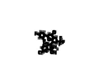 CC(Nc1ccc(Cl)nc1C(=O)O)c1cc(C(F)(F)F)cc2c(=O)cc(-c3ccc(F)cc3F)oc12